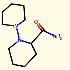 NC(=O)C1CCCCN1N1CCCCC1